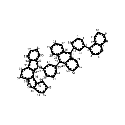 c1cc(-c2cccc3ccccc23)cc(-c2c3ccccc3c(-c3cccc(-n4c5ccccc5c5ccc6sc7ccccc7c6c54)c3)c3ccccc23)c1